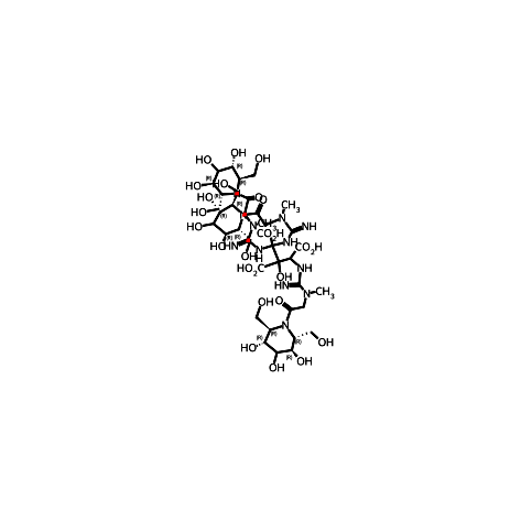 CN(CC(=O)N1[C@H](CO)[C@@H](O)C(O)[C@H](O)[C@H]1CO)C(=N)NC(C(=O)O)C(O)(C(=O)O)C(NC(=N)N(C)CC(=O)N1[C@H](CO)[C@@H](O)C(O)[C@H](O)[C@H]1CO)(NC(=N)N(C)CC(=O)N1[C@H](CO)[C@@H](O)C(O)[C@H](O)[C@H]1CO)C(=O)O